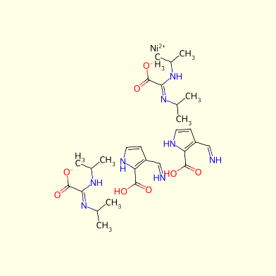 CC(C)N=C(NC(C)C)C(=O)[O-].CC(C)N=C(NC(C)C)C(=O)[O-].N=Cc1cc[nH]c1C(=O)O.N=Cc1cc[nH]c1C(=O)O.[Ni+2]